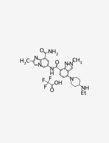 CCNC1CCN(c2ccc(C(=O)Nc3cc(C(N)=O)c4nc(C)cn4c3)c3nn(C)cc23)CC1.O=C(O)C(F)(F)F